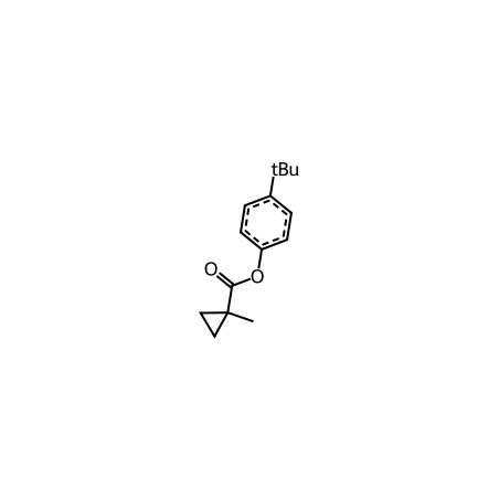 CC1(C(=O)Oc2ccc(C(C)(C)C)cc2)CC1